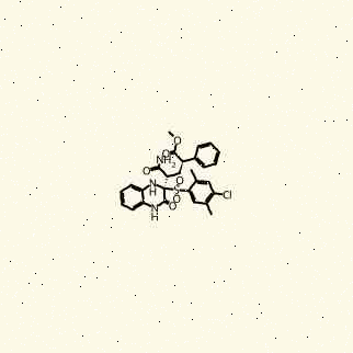 COC(=O)[C@H](CC(C(N)=O)[C@@]1(S(=O)(=O)c2cc(C)c(Cl)cc2C)Nc2ccccc2NC1=O)c1ccccc1